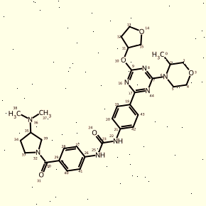 CC1COCCN1c1nc(OC2CCOC2)nc(-c2ccc(NC(=O)Nc3ccc(C(=O)N4CCC(N(C)C)C4)cc3)cc2)n1